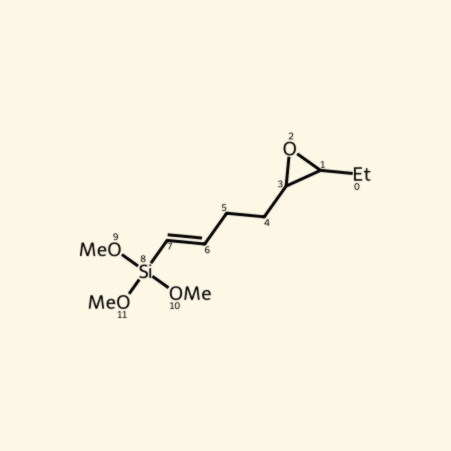 CCC1OC1CCC=C[Si](OC)(OC)OC